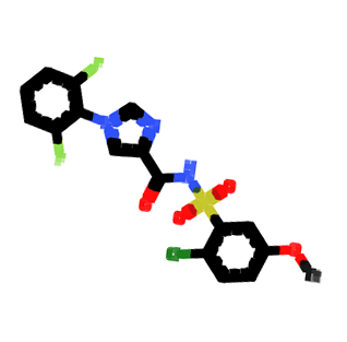 CCOc1ccc(Cl)c(S(=O)(=O)NC(=O)c2cn(-c3c(F)cccc3F)cn2)c1